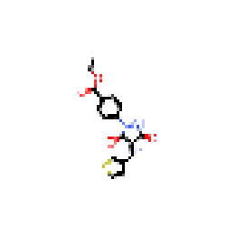 CCOC(=O)c1ccc(N2NC(=O)/C(=C/c3ccsc3)C2=O)cc1